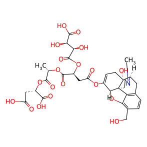 C[C@H](OC(=O)[C@H](CC(=O)OC1=CC[C@@]2(O)[C@H]3Cc4ccc(CO)c5c4[C@@]2(CCN3C)[C@H]1O5)OC(=O)[C@H](O)[C@@H](O)C(=O)O)C(=O)O[C@@H](CC(=O)O)C(=O)O